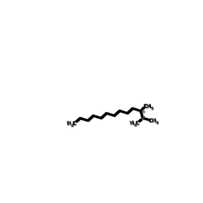 CCCCCCCCCC[C@@H](C)N(C)C